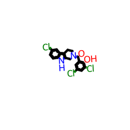 O=C(c1cc(Cl)cc(Cl)c1O)N1CCc2c([nH]c3ccc(Cl)cc23)C1